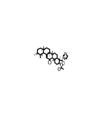 CC(=O)O[C@@H]1CC[C@@]2(C)C(CC[C@]3(C)C2C(=O)C=C2C4[C@@H](C)[C@H](C)CC[C@]4(C)CC[C@]23C)[C@@]1(C)C(=O)n1ccnc1